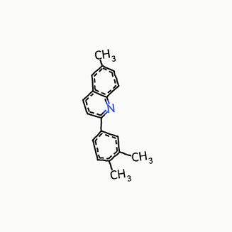 Cc1ccc2nc(-c3ccc(C)c(C)c3)ccc2c1